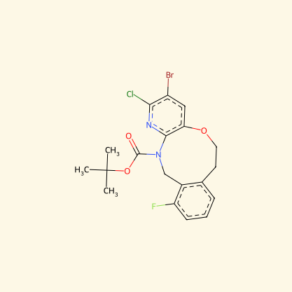 CC(C)(C)OC(=O)N1Cc2c(F)cccc2CCOc2cc(Br)c(Cl)nc21